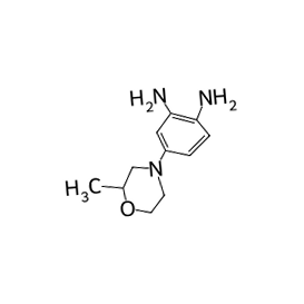 CC1CN(c2ccc(N)c(N)c2)CCO1